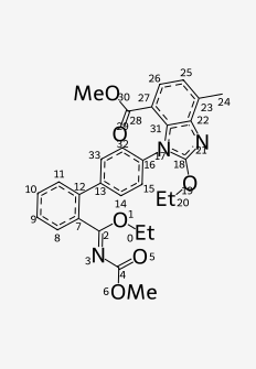 CCOC(=NC(=O)OC)c1ccccc1-c1ccc(-n2c(OCC)nc3c(C)ccc(C(=O)OC)c32)cc1